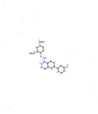 COc1ccc(CNc2nncc3cc(-c4cccc(Cl)c4)ccc23)c(OC)c1